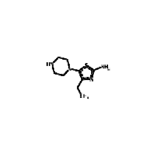 CCc1nc(N)sc1N1CCNCC1